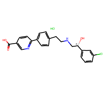 Cl.O=C(O)c1ccc(-c2ccc(CCNC[C@H](O)c3cccc(Cl)c3)cc2)nc1